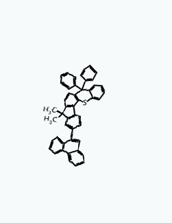 CC1(C)c2cc(-c3cc4ccccc4c4ccccc34)ccc2-c2c1ccc1c2Sc2ccccc2C1(c1ccccc1)c1ccccc1